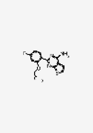 CCOc1cc(F)ccc1-c1nc(N)c2ccsc2n1